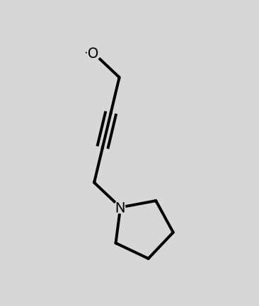 [O]CC#CCN1CCCC1